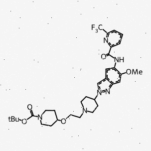 COc1cc2nn(C3CCN(CCOC4CCN(C(=O)OC(C)(C)C)CC4)CC3)cc2cc1NC(=O)c1cccc(C(F)(F)F)n1